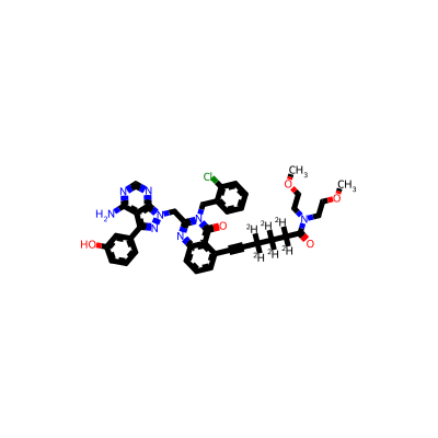 [2H]C([2H])(C#Cc1cccc2nc(Cn3nc(-c4cccc(O)c4)c4c(N)ncnc43)n(Cc3ccccc3Cl)c(=O)c12)C([2H])([2H])C([2H])([2H])C(=O)N(CCOC)CCOC